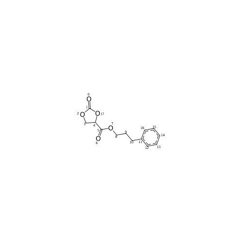 O=C1OCC(C(=O)OCCCc2ccccc2)O1